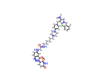 Cc1cccc(F)c1CN1CC(Cc2ccc(N3CCN(CCCCCCNC(=O)CNc4ccc5nnn(C6CCC(=O)NC6=O)c(=O)c5c4)CC3)cc2)[C@@H](N(C)C)C1